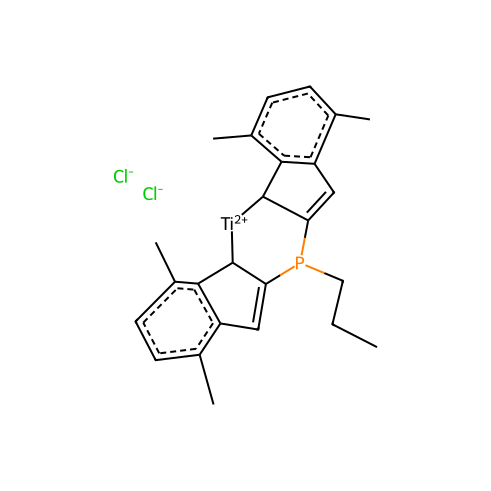 CCCP1C2=Cc3c(C)ccc(C)c3[CH]2[Ti+2][CH]2C1=Cc1c(C)ccc(C)c12.[Cl-].[Cl-]